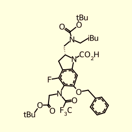 CCC(C)CN(C[C@H]1Cc2c(cc(OCc3ccccc3)c(N(CC(=O)OC(C)(C)C)C(=O)C(F)(F)F)c2F)N1C(=O)O)C(=O)OC(C)(C)C